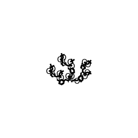 CC(C)(C)OC(=O)[C@@H](Cc1cccc(CCN(CCOc2cccc(C[C@H](C(=O)OC(C)(C)C)[C@H]3CCN(C(=O)OC(C)(C)C)C3)c2)C(=O)Oc2cccc(C[C@H](C(=O)OC(C)(C)C)[C@H]3CCN(C(=O)OC(C)(C)C)C3)c2)c1)[C@H]1CCN(C(=O)OC(C)(C)C)C1